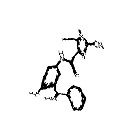 Cc1c(C(=O)Nc2ccc(N)c(C(=N)c3ccccc3)c2)nc(C#N)n1C